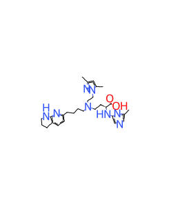 Cc1cncc(N[C@@H](CCN(CCCCc2ccc3c(n2)NCCC3)CCn2nc(C)cc2C)C(=O)O)n1